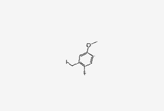 COc1[c]cc(F)c(CI)c1